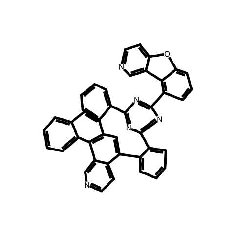 c1ccc(-c2nc(-c3ccccc3-c3cc4ccc5ccccc5c4c4cnccc34)nc(-c3cccc4oc5ccncc5c34)n2)cc1